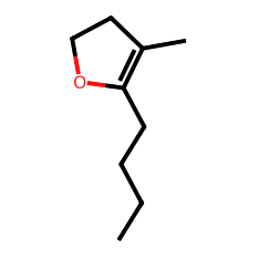 CCCCC1=C(C)CCO1